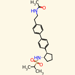 CC(=O)NCCc1ccc(-c2ccc([C@H]3CCC[C@@H]3NS(=O)(=O)C(C)C)cc2)cc1